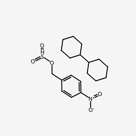 C1CCC(C2CCCCC2)CC1.O=[N+]([O-])c1ccc(CO[SH](=O)=O)cc1